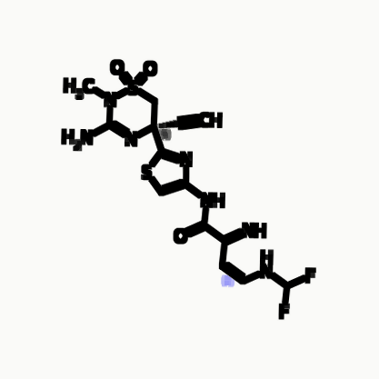 C#C[C@@]1(c2nc(NC(=O)C(=N)/C=C\NC(F)F)cs2)CS(=O)(=O)N(C)C(N)=N1